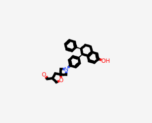 O=CC1COC2(C1)CN(c1ccc([C@@H]3c4ccc(O)cc4CC[C@@H]3c3ccccc3)cc1)C2